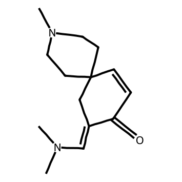 CN(C)/C=C1\CC2(C=CC1=O)CCN(C)CC2